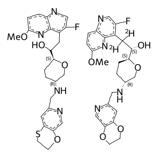 COc1ccc2ncc(F)c(CC(O)[C@@H]3CC[C@@H](NCc4cc5c(cn4)OCCS5)CO3)c2n1.[2H]C([2H])(c1c(F)cnc2ccc(OC)nc12)[C@H](O)[C@@H]1CC[C@@H](NCc2cc3c(cn2)OCCO3)CO1